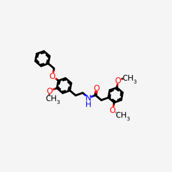 COc1ccc(OC)c(CC(=O)NCCc2ccc(OCc3ccccc3)c(OC)c2)c1